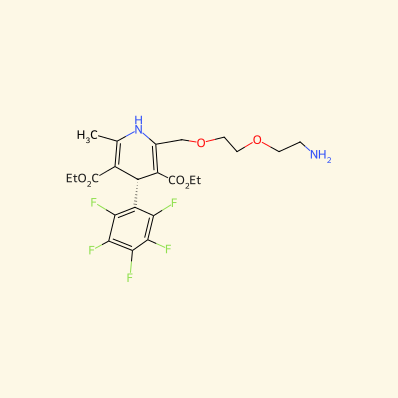 CCOC(=O)C1=C(C)NC(COCCOCCN)=C(C(=O)OCC)[C@@H]1c1c(F)c(F)c(F)c(F)c1F